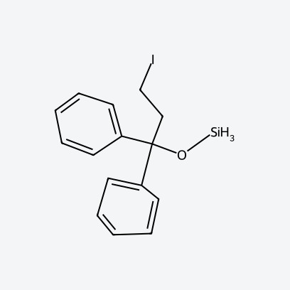 [SiH3]OC(CCI)(c1ccccc1)c1ccccc1